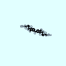 CC(C)(C)OC(=O)N1CC[C@H]1C(=O)C1C(=O)c2ccc(C(=O)c3ccc4c(c3)C(=O)C(C(=O)[C@@H]3CCN3C(=O)OC(C)(C)C)C4=O)cc2C1=O